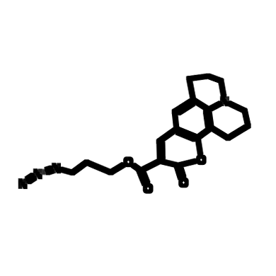 [N-]=[N+]=NCCCOC(=O)c1cc2cc3c4c(c2oc1=O)CCCN4CCC3